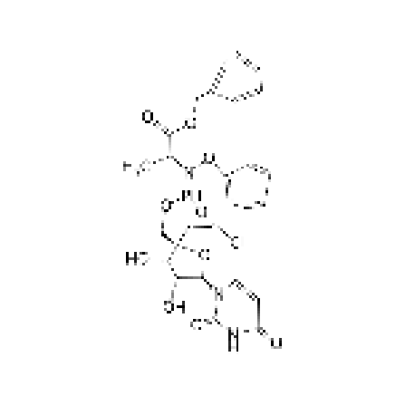 CC(C(=O)OCc1ccccc1)N(Oc1ccccc1)[PH](=O)OC[C@@]1(/C=C\Cl)O[C@@H](n2ccc(=O)[nH]c2=O)[C@H](O)[C@@H]1O